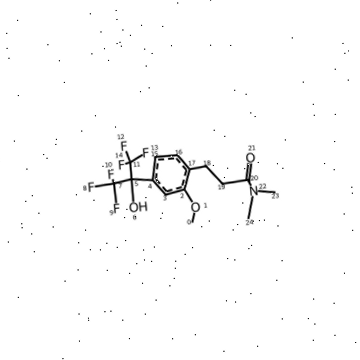 COc1cc(C(O)(C(F)(F)F)C(F)(F)F)ccc1CCC(=O)N(C)C